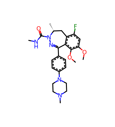 CNC(=O)N1N=C(c2ccc(N3CCN(C)CC3)cc2)c2c(c(F)cc(OC)c2OC)C[C@H]1C